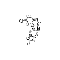 Cc1cc(Cc2nc3cnc4ccc(Cl)cc4c3n2C)no1